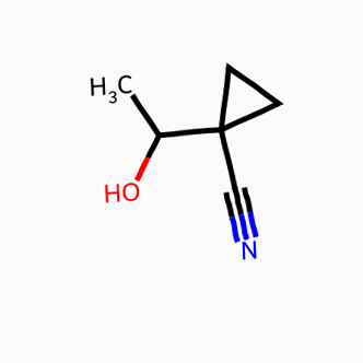 CC(O)C1(C#N)CC1